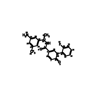 C[C@@H](NC(=O)c1ccc(=O)n(-c2cccnc2F)c1)c1cc(N)cc(C(F)(F)F)c1